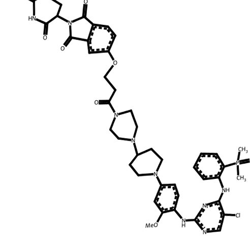 COc1cc(N2CCC(N3CCN(C(=O)CCOc4ccc5c(c4)C(=O)N(C4CCC(=O)NC4=O)C5=O)CC3)CC2)ccc1Nc1ncc(Cl)c(Nc2ccccc2P(C)(C)=O)n1